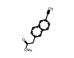 C#Cc1ccc2cc(CC(=O)OC)ccc2c1